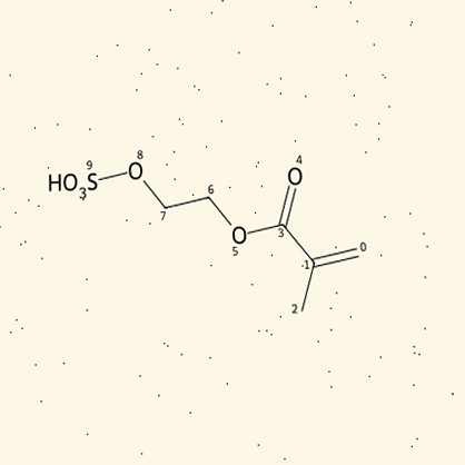 C=C(C)C(=O)OCCOS(=O)(=O)O